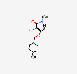 CC(C)(C)C1CCC(COc2cnn(C(C)(C)C)c(=O)c2Cl)CC1